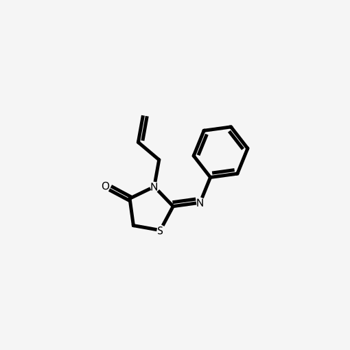 C=CCN1C(=O)CSC1=Nc1ccccc1